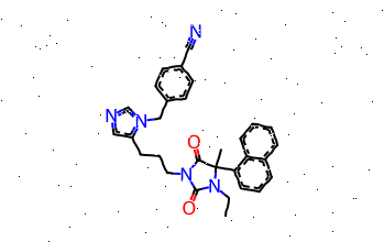 CCN1C(=O)N(CCCc2cncn2Cc2ccc(C#N)cc2)C(=O)C1(C)c1cccc2ccccc12